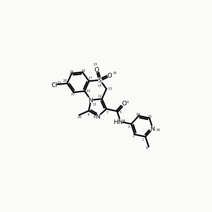 Cc1cc(NC(=O)c2nc(C)n3c2CS(=O)(=O)c2ccc(Cl)cc2-3)ccn1